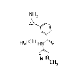 Cl.Cl.Cn1cc(NC(=O)c2cccc(C3CC3N)c2)cn1